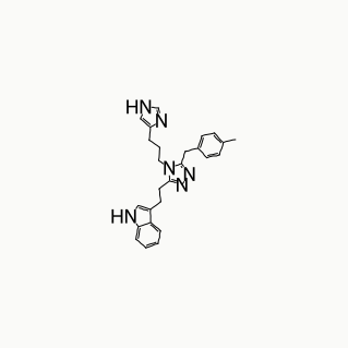 Cc1ccc(Cc2nnc(CCc3c[nH]c4ccccc34)n2CCCc2c[nH]cn2)cc1